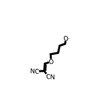 N#CC(C#N)=COCCCC[O]